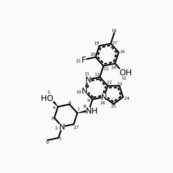 CCN1C[C@@H](O)C[C@@H](Nc2nnc(-c3c(O)cc(C)cc3F)c3cccn23)C1